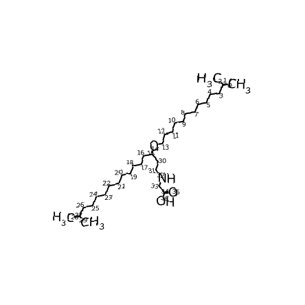 CC(C)CCCCCCCCCCCOC(CCCCCCCCCCCC(C)C)CCNCC(=O)O